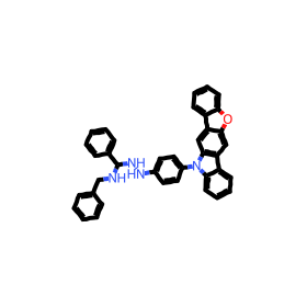 c1ccc(CNC(NNc2ccc(-n3c4ccccc4c4cc5oc6ccccc6c5cc43)cc2)c2ccccc2)cc1